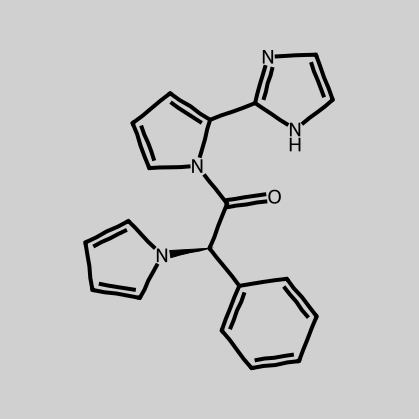 O=C([C@@H](c1ccccc1)n1cccc1)n1cccc1-c1ncc[nH]1